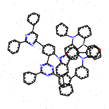 c1ccc(-c2ccc3c(c2)c2cc(-c4ccccc4)ccc2n3-c2ccc(-c3cc(-c4ccccc4)nc(-c4ccccc4)n3)cc2-c2nc(-c3ccccc3)nc(-c3cccc(-c4cccc(N5c6ccccc6B6c7ccccc7N(c7ccccc7)c7cccc5c76)c4)c3)n2)cc1